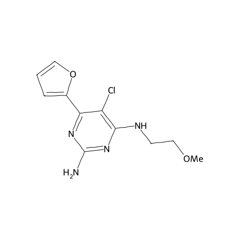 COCCNc1nc(N)nc(-c2ccco2)c1Cl